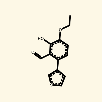 CCOc1ccc(-c2ccsc2)c(C=O)c1O